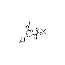 CCOC(=O)CN(CCNC(=O)OC(C)(C)C)C1CN(C)C1